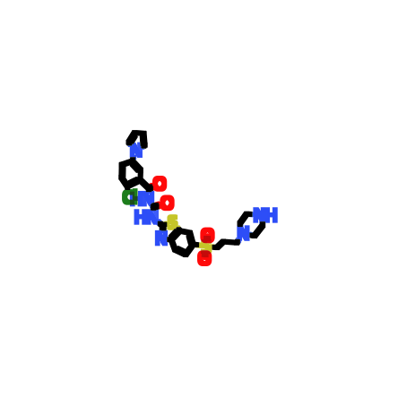 O=C(NC(=O)c1cc(-n2cccc2)ccc1Cl)Nc1nc2ccc(S(=O)(=O)CCCN3CCNCC3)cc2s1